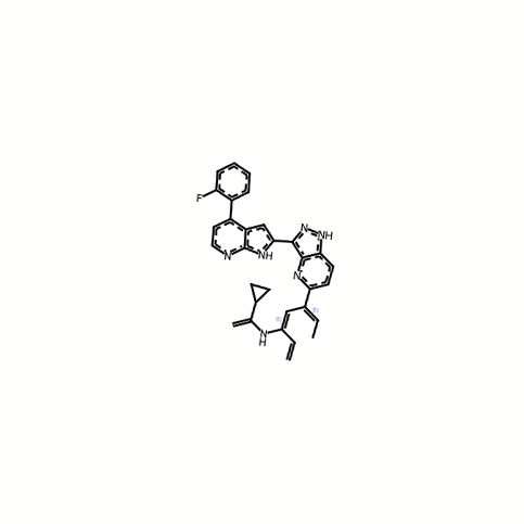 C=C/C(=C\C(=C/C)c1ccc2[nH]nc(-c3cc4c(-c5ccccc5F)ccnc4[nH]3)c2n1)NC(=C)C1CC1